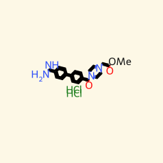 COC(=O)CN1CCN(C(=O)c2ccc(-c3ccc(C(=N)N)cc3)cc2)CC1.Cl.Cl